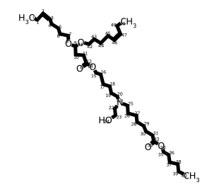 CC/C=C\CCCCOC(CCC(=O)OCCCCCCN(CCO)CCCCCCCC(=O)OCCCCCC)OCCCC/C=C\CC